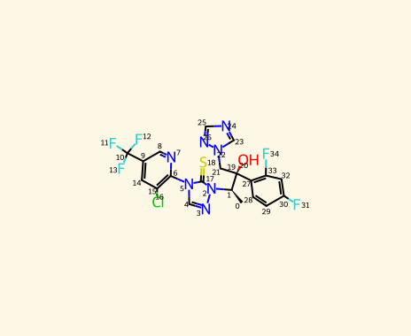 C[C@@H](n1ncn(-c2ncc(C(F)(F)F)cc2Cl)c1=S)[C@](O)(Cn1cncn1)c1ccc(F)cc1F